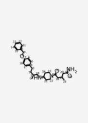 CC(CCc1ccc(OCc2ccccc2)cc1)CNC1CCN(C(=O)CC(C)CC(N)=O)CC1